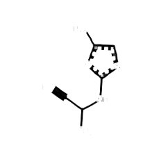 C#CC(C)Nc1ncc(C)s1